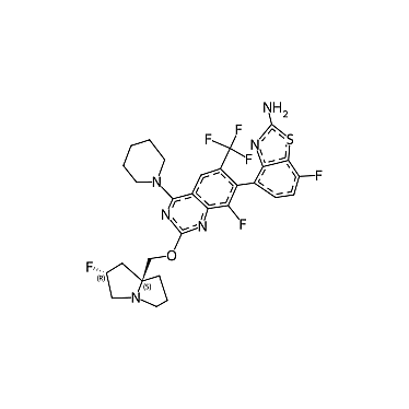 Nc1nc2c(-c3c(C(F)(F)F)cc4c(N5CCCCC5)nc(OC[C@@]56CCCN5C[C@H](F)C6)nc4c3F)ccc(F)c2s1